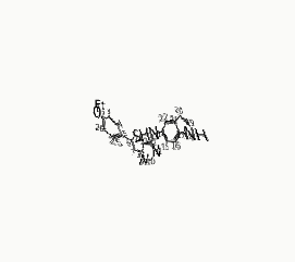 CCOc1ccc(-c2cc3ncnc(Nc4ccc5[nH]ccc5c4)c3s2)cc1